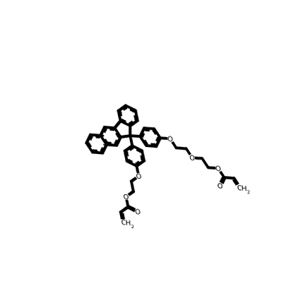 C=CC(=O)OCCOCCOc1ccc(C2(c3ccc(OCCOC(=O)C=C)cc3)c3ccccc3-c3cc4ccccc4cc32)cc1